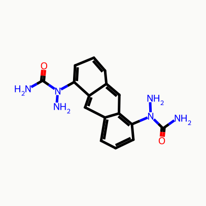 NC(=O)N(N)c1cccc2cc3c(N(N)C(N)=O)cccc3cc12